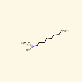 CCCCCCCCCCCCCCCCN(CCC)C(=O)O